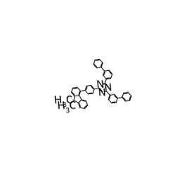 CC1(C)c2ccccc2-c2c(-c3ccc(-c4nc(-c5cccc(-c6ccccc6)c5)nc(-c5cccc(-c6ccccc6)c5)n4)cc3)cccc21